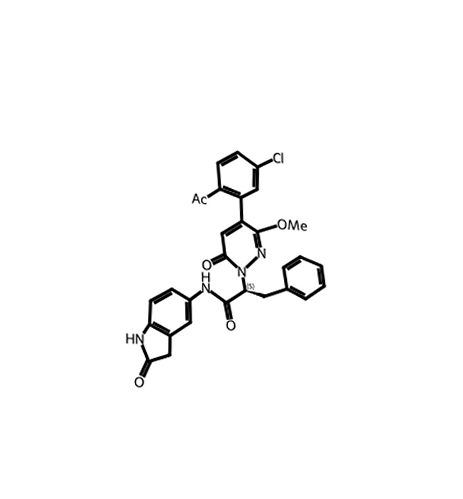 COc1nn([C@@H](Cc2ccccc2)C(=O)Nc2ccc3c(c2)CC(=O)N3)c(=O)cc1-c1cc(Cl)ccc1C(C)=O